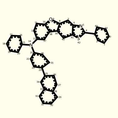 c1ccc(-c2nc3cc4oc5ccc(N(c6ccccc6)c6ccc(-c7ccc8ccccc8c7)cc6)cc5c4cc3s2)cc1